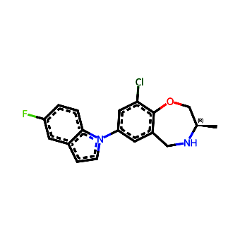 C[C@@H]1COc2c(Cl)cc(-n3ccc4cc(F)ccc43)cc2CN1